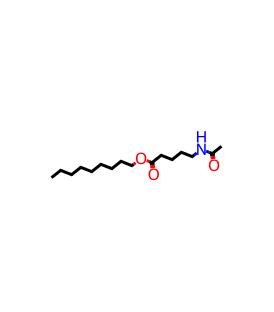 CCCCCCCCCOC(=O)CCCCNC(C)=O